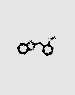 S=Nc1ccccc1Cc1nc2ccccc2s1